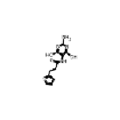 Nc1nc(O)c(NC(=O)CCc2cccs2)c(O)n1